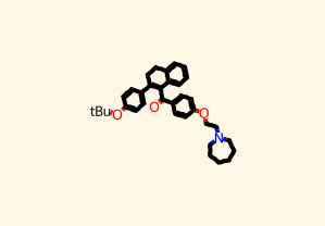 CC(C)(C)Oc1ccc(C2=C(C(=O)c3ccc(OCCN4CCCCCC4)cc3)c3ccccc3CC2)cc1